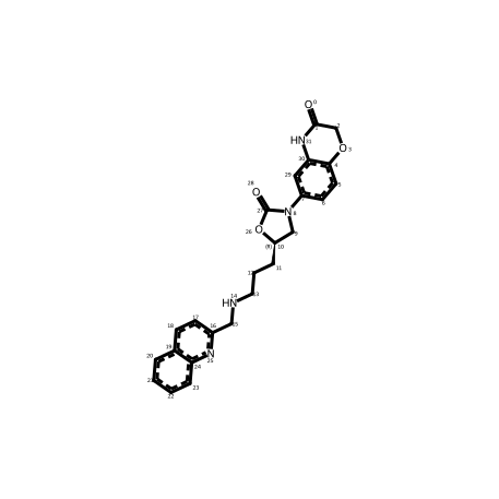 O=C1COc2ccc(N3C[C@@H](CCCNCc4ccc5ccccc5n4)OC3=O)cc2N1